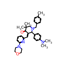 Cc1ccc(CN2CC(C)(C)C(=O)/C(=C\c3cccc(N4CCOCC4)n3)C2c2ccc(N(C)C)cc2)cc1